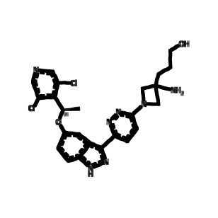 C[C@@H](Oc1ccc2[nH]nc(-c3ccc(N4CC(N)(CCCO)C4)nn3)c2c1)c1c(Cl)cncc1Cl